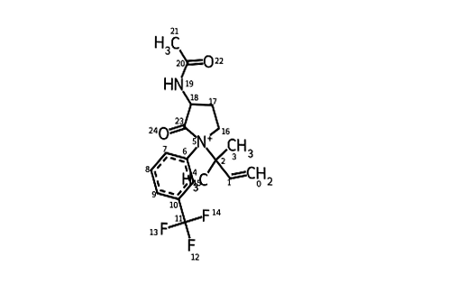 C=CC(C)(C)[N+]1(c2cccc(C(F)(F)F)c2)CCC(NC(C)=O)C1=O